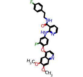 COc1cc2nccc(Oc3ccc(Nc4ncccc4C(=O)NCCc4ccc(F)cc4)cc3F)c2cc1OC